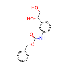 O=C(Nc1cccc(C(O)CO)c1)OCc1ccccc1